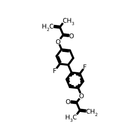 C=C(C)C(=O)OC1=CCC(c2ccc(OC(=O)C(=C)C)cc2F)C(F)=C1